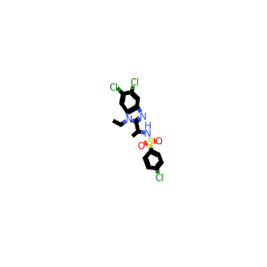 CCn1c(C(C)NS(=O)(=O)c2ccc(Cl)cc2)nc2cc(Cl)c(Cl)cc21